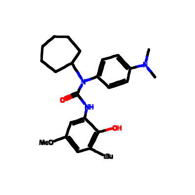 COc1cc(NC(=O)N(c2ccc(N(C)C)cc2)C2CCCCCC2)c(O)c(C(C)(C)C)c1